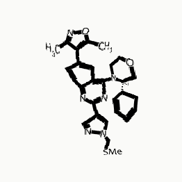 CSCn1cc(-c2nc(N3CCOC[C@@H]3c3ccccc3)c3cc(-c4c(C)noc4C)ccc3n2)cn1